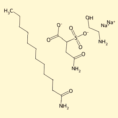 CCCCCCCCCCCC(N)=O.NC(=O)CC(C(=O)[O-])S(=O)(=O)[O-].NCCO.[Na+].[Na+]